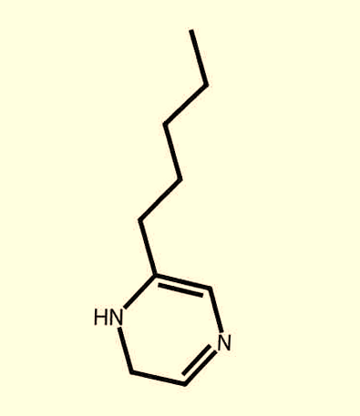 CCCCCC1=CN=CCN1